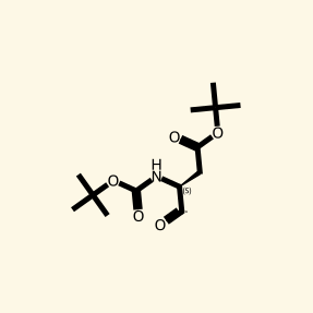 CC(C)(C)OC(=O)C[C@@H]([C]=O)NC(=O)OC(C)(C)C